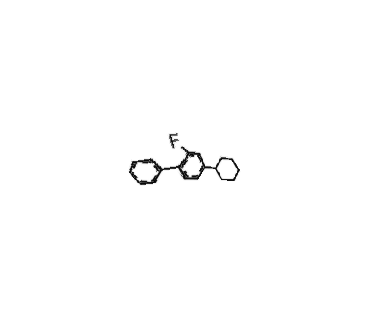 Fc1cc(C2CCCCC2)ccc1-c1ccccc1